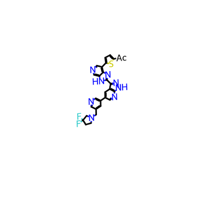 CC(=O)c1ccc(-c2cncc3[nH]c(-c4n[nH]c5ncc(-c6cncc(CN7CCC(F)(F)C7)c6)cc45)nc23)s1